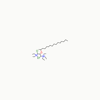 CCCCCCCCCCCCCCC(C)OC(C(Cl)[N+](CC)(CC)CC)C(Cl)[N+](CC)(CC)CC